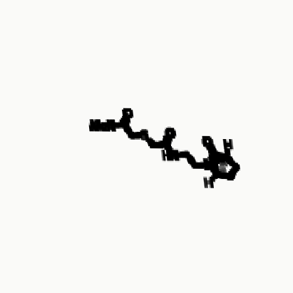 CNC(=O)CSCC(=O)NCCN1C(=O)[C@@H]2CC[C@H]1C2